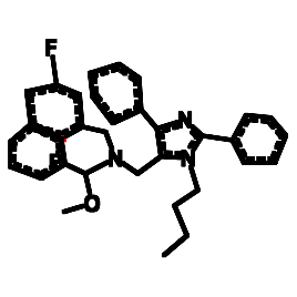 CCCCn1c(-c2ccccc2)nc(-c2ccccc2)c1CN(Cc1cc(F)ccc1F)C(OC)c1ccccc1